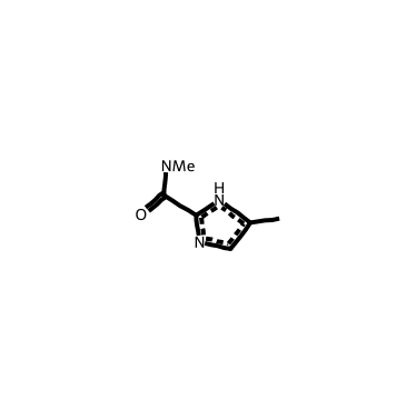 CNC(=O)c1ncc(C)[nH]1